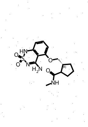 CNC(=O)C1CCC[C@H]1COc1cccc2c1C(N)=NS(=O)(=O)N2